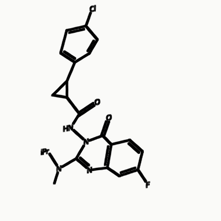 CC(C)N(C)c1nc2cc(F)ccc2c(=O)n1NC(=O)C1CC1c1ccc(Cl)cc1